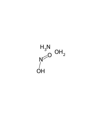 N.O.O=NO